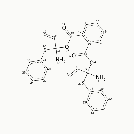 C=CC(N)(OC(=O)c1ccccc1C(=O)OC(N)(C=C)Sc1ccccc1)Sc1ccccc1